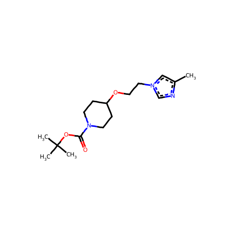 Cc1cn(CCOC2CCN(C(=O)OC(C)(C)C)CC2)cn1